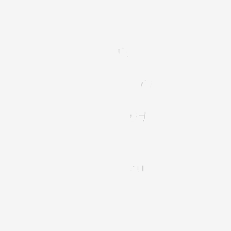 C=Cc1cccc2cc3ccc(O)c(O)c3c(O)c12